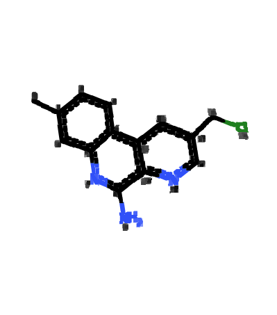 Cc1ccc2c(c1)nc(N)c1ncc(CCl)cc12